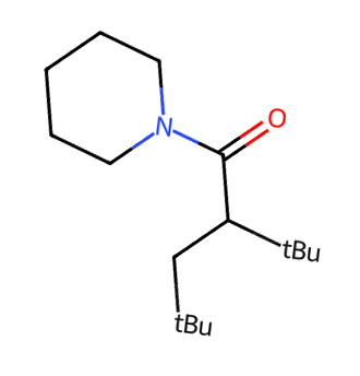 CC(C)(C)CC(C(=O)N1CCCCC1)C(C)(C)C